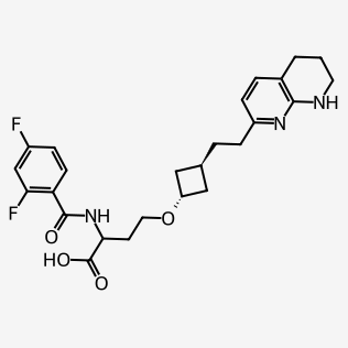 O=C(NC(CCO[C@H]1C[C@H](CCc2ccc3c(n2)NCCC3)C1)C(=O)O)c1ccc(F)cc1F